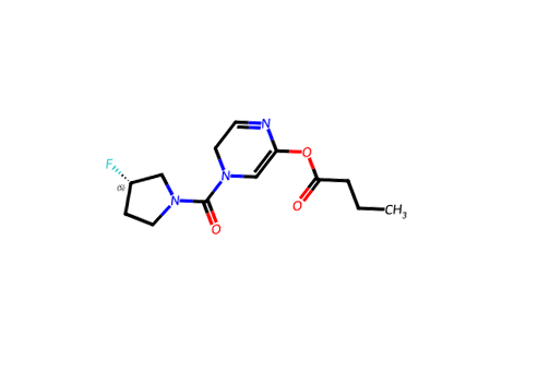 CCCC(=O)OC1=CN(C(=O)N2CC[C@H](F)C2)CC=N1